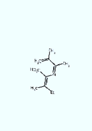 C=C(C)/C(C)=N\C(C(=O)O)=C(\C)CC